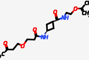 C=C(C)OCCNC(=O)[C@H]1C[C@H](NC(=O)CCOCCC(C)=O)C1